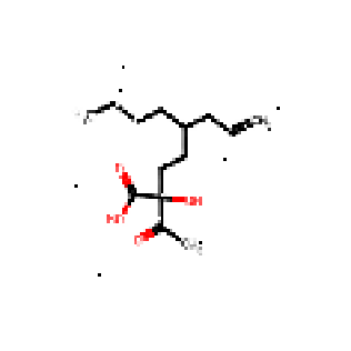 C=CCC(CCCC)CCC(O)(C(C)=O)C(=O)O